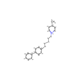 Cc1cc[n+](CCCCCc2ccc(-c3ccccc3)cc2)cc1